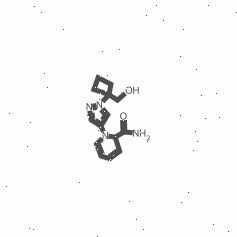 NC(=O)C1C=CC=CN1c1cnn(C2(CO)CCC2)c1